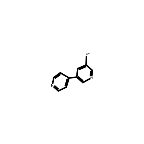 CC(C)c1cncc(-c2ccncc2)c1